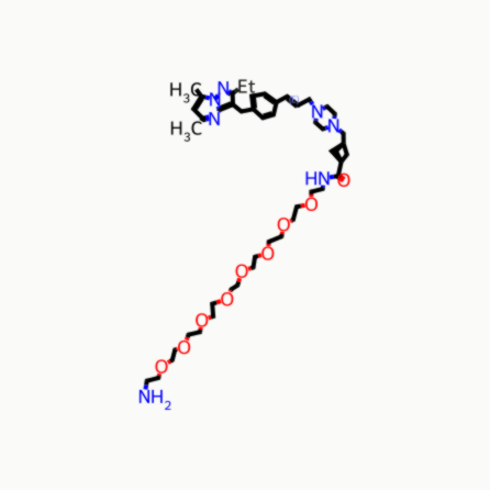 CCc1nn2c(C)cc(C)nc2c1Cc1ccc(/C=C/CN2CCN(CC34CC(C(=O)NCCOCCOCCOCCOCCOCCOCCOCCOCCN)(C3)C4)CC2)cc1